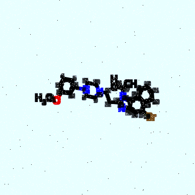 COc1cccc(N2CCN(CCc3nc4cc(Br)c5ccccc5c4n3C(C)C)CC2)c1